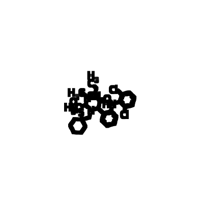 CCOC(=O)C(c1ccccc1Nc1c(Cl)cccc1Cl)N(CC1(SN=O)CCCCC1)C(C)N(C)C